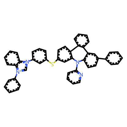 c1ccc(-c2ccc3c(c2)-c2ccccc2-c2ccc(Sc4cccc(-n5c[n+](-c6ccccc6)c6ccccc65)c4)cc2N3c2ccccn2)cc1